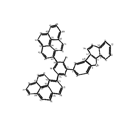 Cc1c(-c2ccc3oc4c5ccccc5ccc4c3c2)cc(-c2ccc3ccc4cccc5ccc2c3c45)cc1-c1ccc2ccc3cccc4ccc1c2c34